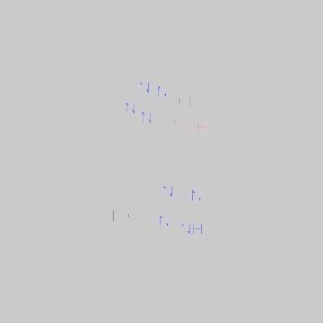 Cc1ccc(C(O)(c2nnnn2C)C(F)(F)F)cc1-c1cnc2c(N)nc(C(F)(F)F)cn12